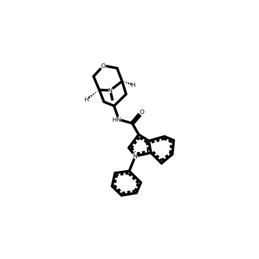 CN1[C@@H]2COC[C@H]1CC(NC(=O)c1cn(-c3ccccc3)c3ccccc13)C2